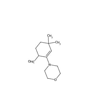 CC1(C)C=C(N2CCOCC2)C(C=O)CC1